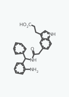 Nc1ccccc1C(NC(=O)Cc1ccc2[nH]cc(CCC(=O)O)c2c1)c1ccccc1